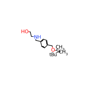 CC(C)(C)[Si](C)(C)OCc1ccc(CNCCO)cc1